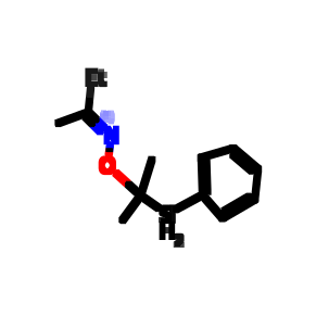 CC/C(C)=N/OC(C)(C)[SiH2]c1ccccc1